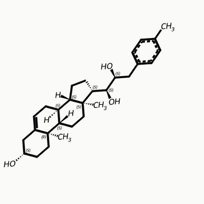 Cc1ccc(C[C@H](O)[C@@H](O)[C@H]2CC[C@H]3[C@@H]4CC=C5C[C@@H](O)CC[C@]5(C)[C@H]4CC[C@]23C)cc1